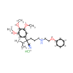 COc1cc(C(C#N)(CCCNCCOc2ccccc2)C(C)C)cc(OC)c1OC.Cl